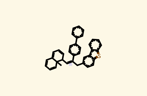 CC12C=CC=CC1=CC=CC2/C=C(/Cc1ccc2sc3ccccc3c2c1)c1ccc(-c2ccccc2)cc1